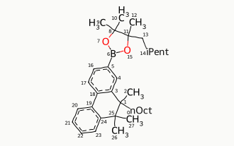 CCCCCCCCC1(C)c2cc(B3OC(C)(C)C(C)(CC(C)CCC)O3)ccc2-c2ccccc2C1(C)C